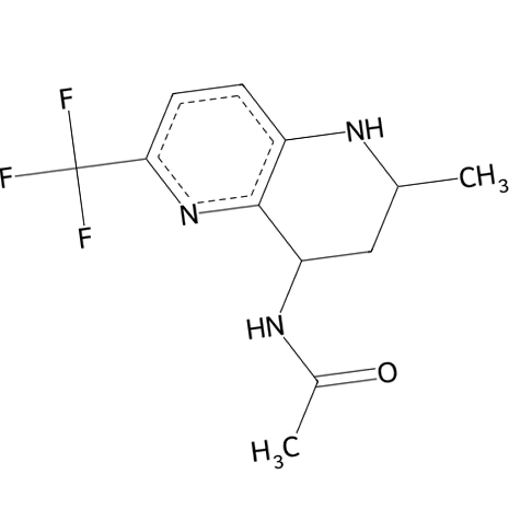 CC(=O)NC1CC(C)Nc2ccc(C(F)(F)F)nc21